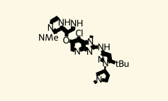 CNC1=NC=CN/C1=C(\C=N)Oc1cnc2nc(Nc3cc(C(C)(C)C)n([C@H]4CCN(C)C4)n3)n(C)c2c1Cl